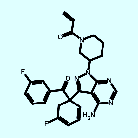 C=CC(=O)N1CCCC(n2nc(C3(C(=O)c4cccc(F)c4)C=CC=C(F)C3)c3c(N)ncnc32)C1